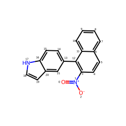 O=[N+]([O-])c1ccc2ccccc2c1-c1ccc2[nH]ccc2c1